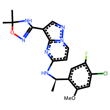 COc1cc(Cl)c(F)cc1[C@@H](C)Nc1ccn2ncc(C3=NOC(C)(C)N3)c2n1